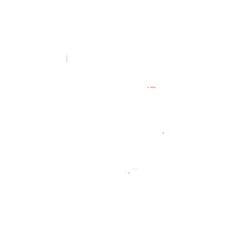 CCCC(CC)C(O)O